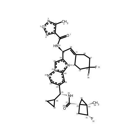 Cc1nonc1C(=O)N[C@@H](C=C1CCC(F)(F)CC1)c1cn2ncc([C@H](NC(=O)[C@@]34C[C@@H](F)[C@]3(C)C4)C3CC3)cc2n1